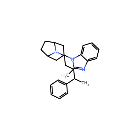 Cc1nc2ccccc2n1C1CC2CCC(C1)N2CCCC(C)c1ccccc1